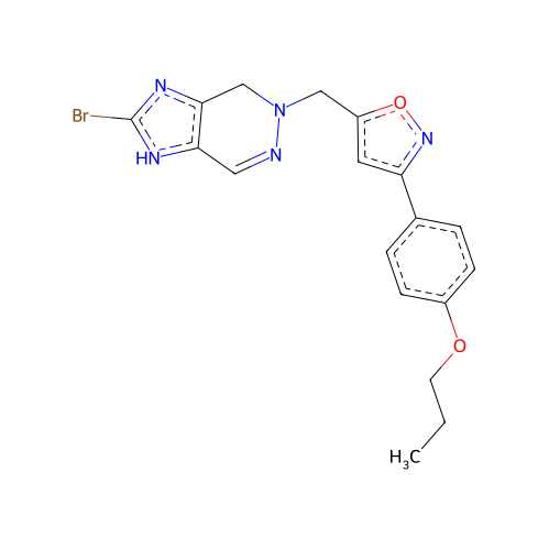 CCCOc1ccc(-c2cc(CN3Cc4nc(Br)[nH]c4C=N3)on2)cc1